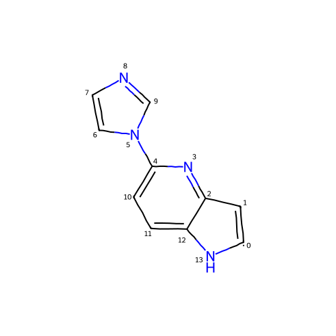 [c]1cc2nc(-n3ccnc3)ccc2[nH]1